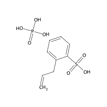 C=CCc1ccccc1S(=O)(=O)O.O=P(O)(O)O